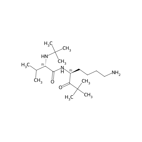 CC(C)[C@H](NC(C)(C)C)C(=O)N[C@@H](CCCCN)C(=O)C(C)(C)C